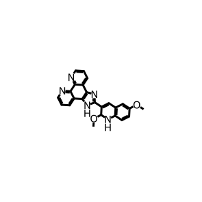 COc1ccc2c(c1)C=C(c1nc3c4cccnc4c4ncccc4c3[nH]1)C(OC)N2